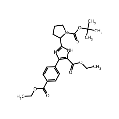 CCOC(=O)c1ccc(-c2nc(C3CCCN3C(=O)OC(C)(C)C)[nH]c2C(=O)OCC)cc1